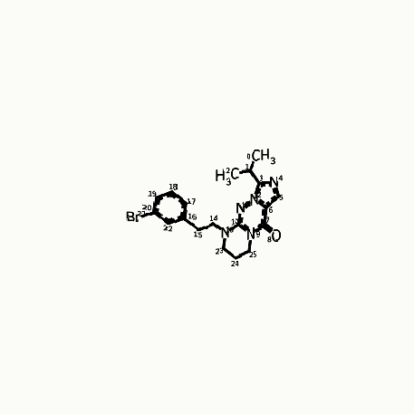 CC(C)c1ncc2c(=O)n3c(nn12)N(CCc1cccc(Br)c1)CCC3